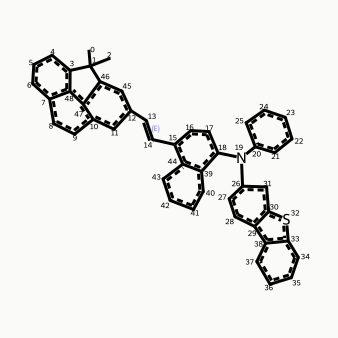 CC1(C)c2cccc3ccc4cc(/C=C/c5ccc(N(c6ccccc6)c6ccc7c(c6)sc6ccccc67)c6ccccc56)cc1c4c23